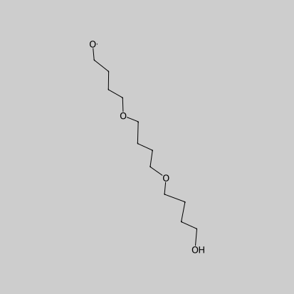 [O]CCCCOCCCCOCCCCO